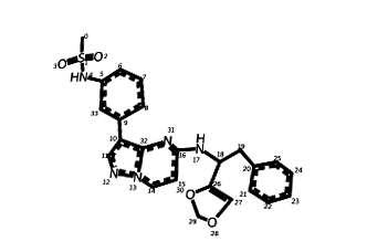 CS(=O)(=O)Nc1cccc(-c2cnn3ccc(NC(Cc4ccccc4)C4=COCO4)nc23)c1